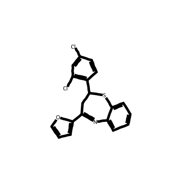 Clc1ccc(C2CC(c3ccco3)=Nc3ccccc3S2)c(Cl)c1